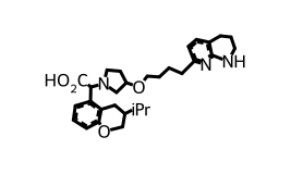 CC(C)C1COc2cccc(C(C(=O)O)N3CCC(OCCCCc4ccc5c(n4)NCCC5)C3)c2C1